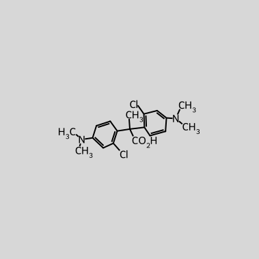 CN(C)c1ccc(C(C)(C(=O)O)c2ccc(N(C)C)cc2Cl)c(Cl)c1